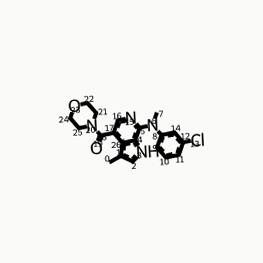 Cc1c[nH]c2c(N(C)c3cccc(Cl)c3)ncc(C(=O)N3CCOCC3)c12